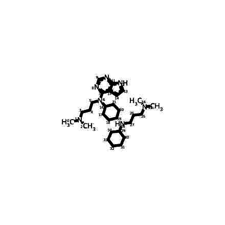 CN(C)CCCN(c1ncnc2[nH]ccc12)C1CCCCC1.CN(C)CCCNC1CCCCC1